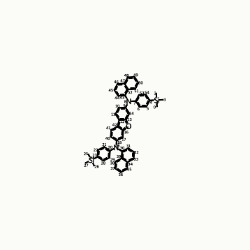 C[Si](C)(C)c1ccc(N(c2ccc3c(c2)oc2cc(N(c4ccc([Si](C)(C)C)cc4)c4cccc5ccccc45)ccc23)c2cccc3ccccc23)cc1